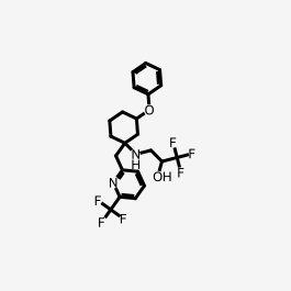 OC(CNC1(Cc2cccc(C(F)(F)F)n2)CCCC(Oc2ccccc2)C1)C(F)(F)F